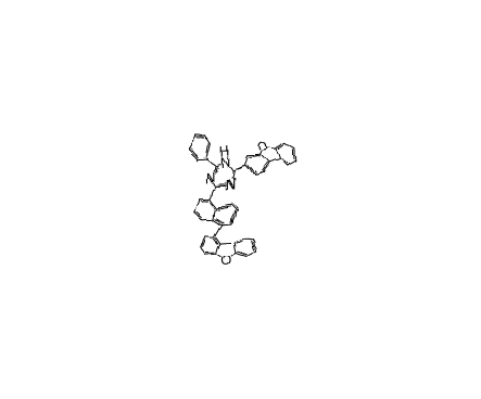 c1ccc(C2=NC(c3cccc4c(-c5cccc6oc7ccccc7c56)cccc34)=NC(c3ccc4c(c3)oc3ccccc34)N2)cc1